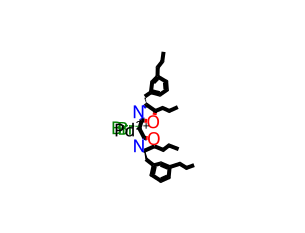 CCCc1cccc(C[C@H]2N=C(CC3=N[C@H](Cc4cccc(CCC)c4)C(CCC)O3)OC2CCC)c1.[Br-].[Br-].[Pd+2]